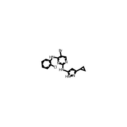 Clc1ccccc1Nc1nc(Nc2cc(C3CC3)n[nH]2)ncc1Br